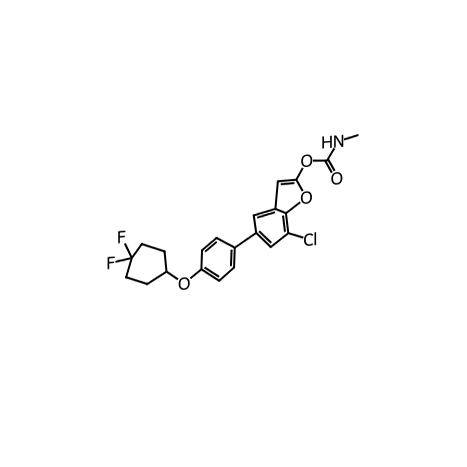 CNC(=O)Oc1cc2cc(-c3ccc(OC4CCC(F)(F)CC4)cc3)cc(Cl)c2o1